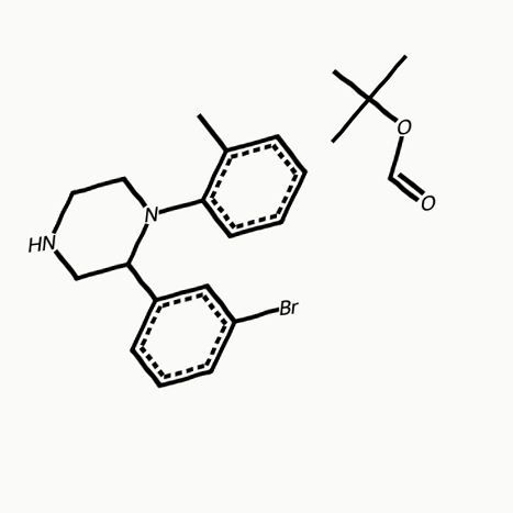 CC(C)(C)OC=O.Cc1ccccc1N1CCNCC1c1cccc(Br)c1